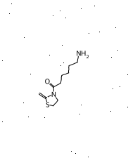 C=C1SCCN1C(=O)CCCCCN